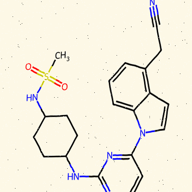 CS(=O)(=O)NC1CCC(Nc2nccc(-n3ccc4c(CC#N)cccc43)n2)CC1